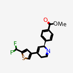 COC(=O)c1ccc([C@@H]2C=C(c3csc(C(F)F)c3)CC=N2)cc1